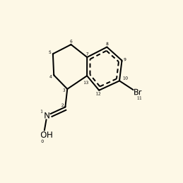 ON=CC1CCCc2ccc(Br)cc21